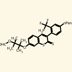 CCCCCc1ccc(-c2cc3ccc(OC(C)(C)C(C)(C)OC=O)cc3sc2=S)c(C(F)(F)P)c1